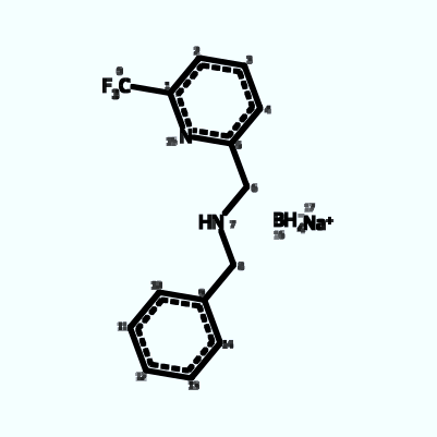 FC(F)(F)c1cccc(CNCc2ccccc2)n1.[BH4-].[Na+]